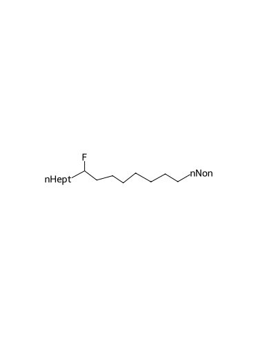 CCCCCCCCCCCCCCCCC(F)CCCCCCC